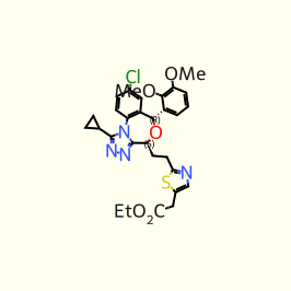 CCOC(=O)Cc1cnc(CC[C@@H]2O[C@@H](c3cccc(OC)c3OC)c3cc(Cl)ccc3-n3c(C4CC4)nnc32)s1